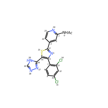 CC(=O)Nc1cc(-c2nc(-c3ccc(Cl)cc3Cl)c(-c3nnc[nH]3)s2)ccn1